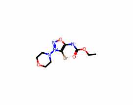 CCOC(=O)[N-]c1on[n+](N2CCOCC2)c1Br